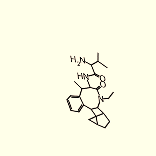 CCN1C(=O)C(NC(=O)C(N)C(C)C)C(C)c2ccccc2C2C1C1CCC3CC312